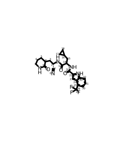 N#C[C@H](CC1CCCNC1=O)NC(=O)C(CC1CC1)NC(=O)c1cc2c(C(F)(F)F)cccc2[nH]1